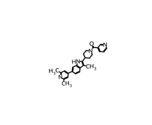 Cc1cc(-c2ccc3c(C)c(C4CCN(C(=O)c5cccnc5)CC4)[nH]c3c2)cc(C)n1